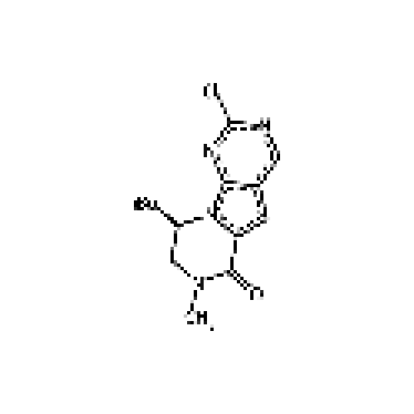 CC[C@H](C)C1CN(C)C(=O)c2cc3cnc(Cl)nc3n21